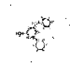 Nc1cc(Nc2ccncc2)nc(N2CCOCC2)n1